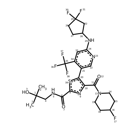 CC(C)(O)CNC(=O)c1nc(C(=O)N2CCC(F)CC2)c(-c2cnc(NC3CCC(F)(F)C3)cc2C(F)(F)F)s1